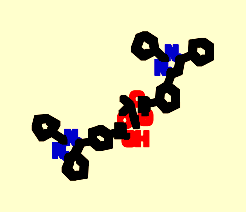 CC1(C)OB(c2cccc(-c3cc(-c4ccccc4)nc(-c4ccccc4)n3)c2)OC1(C)OB(O)c1ccc(-c2nc(-c3ccccc3)nc3ccccc23)cc1